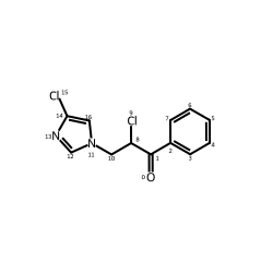 O=C(c1ccccc1)C(Cl)Cn1cnc(Cl)c1